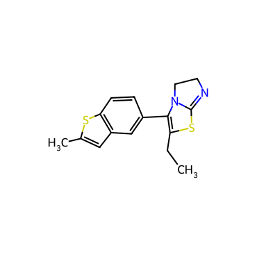 CCC1=C(c2ccc3sc(C)cc3c2)N2CCN=C2S1